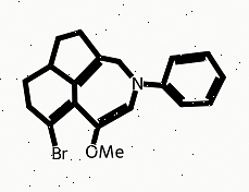 COC1=CN(c2ccccc2)CC2=C3C1=C(Br)CCC3CC2